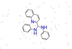 c1ccc(NC(Nc2ccccc2)c2ccc3ccccc3n2)cc1